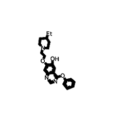 CCC1CCN(CCOc2cc3ncnc(Oc4ccccc4)c3cc2O)CC1